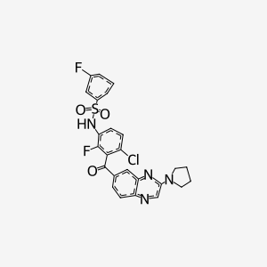 O=C(c1ccc2ncc(N3CCCC3)nc2c1)c1c(Cl)ccc(NS(=O)(=O)c2cccc(F)c2)c1F